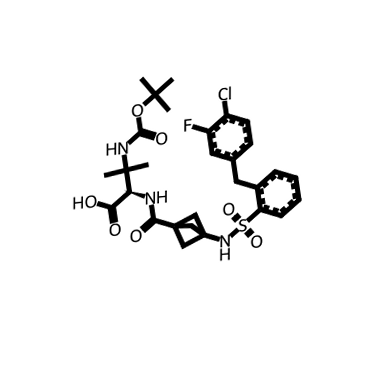 CC(C)(C)OC(=O)NC(C)(C)[C@@H](NC(=O)C12CC(NS(=O)(=O)c3ccccc3Cc3ccc(Cl)c(F)c3)(C1)C2)C(=O)O